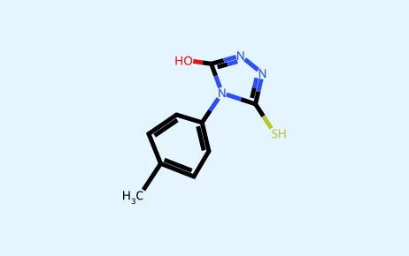 Cc1ccc(-n2c(O)nnc2S)cc1